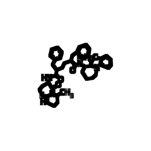 Cc1ccccc1N1CCCCC(NC(=O)C(CCC(Cc2ccccc2)C(=O)NC2CCS[C@H]3CCCC(C)N3C2=O)Cc2ccccc2)C1=O